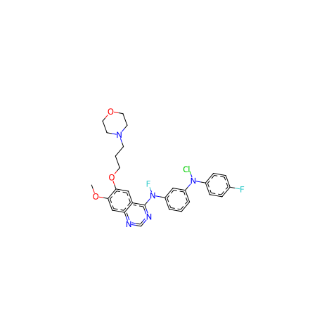 COc1cc2ncnc(N(F)c3cccc(N(Cl)c4ccc(F)cc4)c3)c2cc1OCCCN1CCOCC1